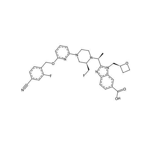 C[C@@H](c1nc2ccc(C(=O)O)cc2n1C[C@@H]1CCO1)N1CCN(c2cccc(OCc3ccc(C#N)cc3F)n2)C[C@@H]1CF